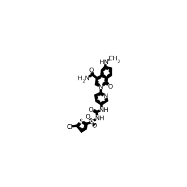 CNc1ccc2c(=O)n(-c3ccc(NC(=O)NS(=O)(=O)c4ccc(Cl)s4)cn3)cc(C(N)=O)c2c1